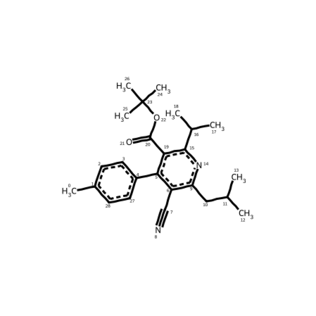 Cc1ccc(-c2c(C#N)c(CC(C)C)nc(C(C)C)c2C(=O)OC(C)(C)C)cc1